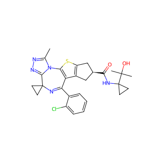 Cc1nnc2n1-c1sc3c(c1C(c1ccccc1Cl)=NC21CC1)C[C@H](C(=O)NC1(C(C)(C)O)CC1)C3